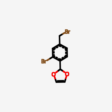 BrCc1ccc(C2OC=CO2)c(Br)c1